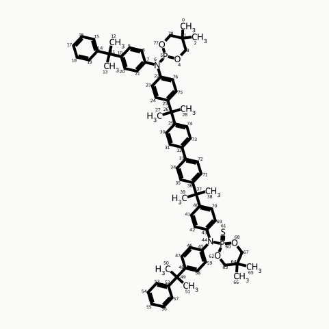 CC1(C)COP(N(c2ccc(C(C)(C)c3ccccc3)cc2)c2ccc(C(C)(C)c3ccc(-c4ccc(C(C)(C)c5ccc(N(c6ccc(C(C)(C)c7ccccc7)cc6)P6(=S)OCC(C)(C)CO6)cc5)cc4)cc3)cc2)OC1